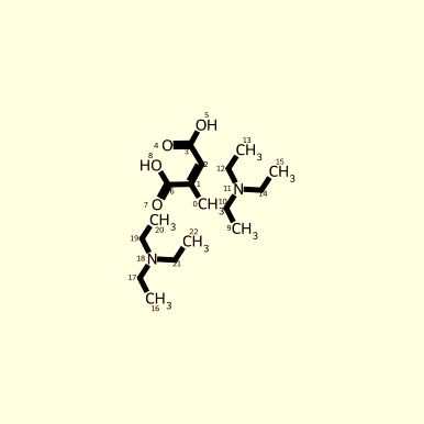 CC(=CC(=O)O)C(=O)O.CCN(CC)CC.CCN(CC)CC